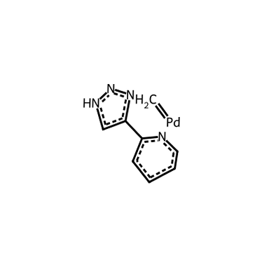 [CH2]=[Pd].c1ccc(-c2c[nH]nn2)nc1